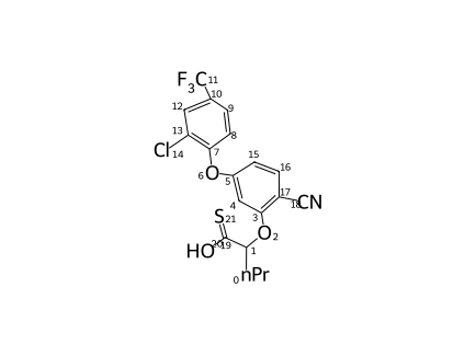 CCCC(Oc1cc(Oc2ccc(C(F)(F)F)cc2Cl)ccc1C#N)C(O)=S